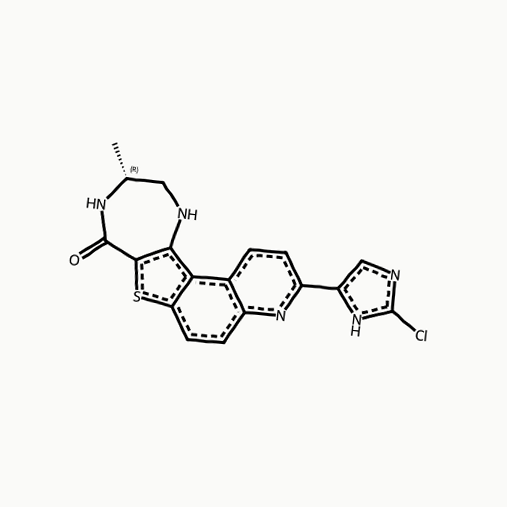 C[C@@H]1CNc2c(sc3ccc4nc(-c5cnc(Cl)[nH]5)ccc4c23)C(=O)N1